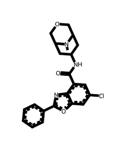 CN1C2COCC1CC(NC(=O)c1cc(Cl)cc3oc(-c4ccccc4)nc13)C2